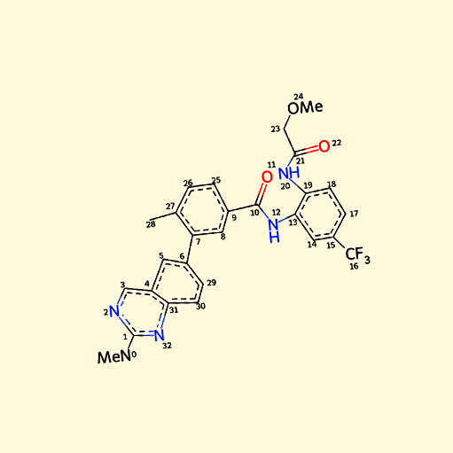 CNc1ncc2cc(-c3cc(C(=O)Nc4cc(C(F)(F)F)ccc4NC(=O)COC)ccc3C)ccc2n1